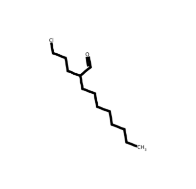 CCCCCCCCC(C=O)CCCCl